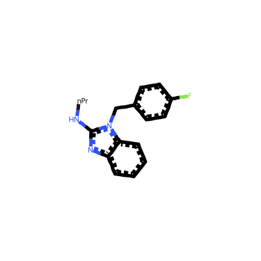 CCCNc1nc2ccccc2n1Cc1ccc(F)cc1